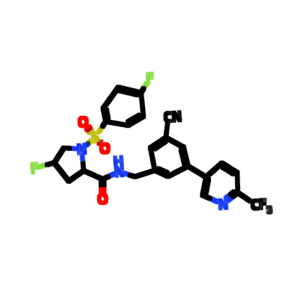 N#Cc1cc(CNC(=O)C2CC(F)CN2S(=O)(=O)c2ccc(F)cc2)cc(-c2ccc(C(F)(F)F)nc2)c1